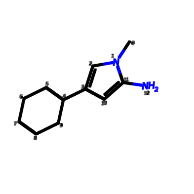 Cn1cc(C2CCCCC2)cc1N